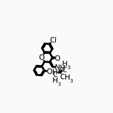 CC(C)(C)N/C=C1\C(=O)c2cc(Cl)ccc2OC1c1ccccc1O